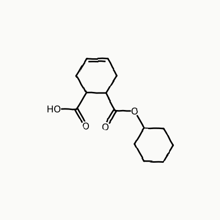 O=C(O)C1CC=CCC1C(=O)OC1CCCCC1